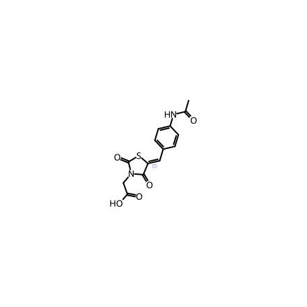 CC(=O)Nc1ccc(/C=C2\SC(=O)N(CC(=O)O)C2=O)cc1